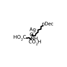 CCCCCCCCCCCCCCCCCC(=O)N[C@@H](CCC(=O)O)C(=O)O.[Ag]